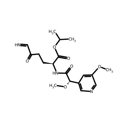 COc1cncc([C@H](OC)C(=O)N[C@@H](CCC(=O)C=N)C(=O)OC(C)C)c1